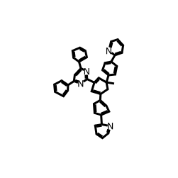 CC1(c2ccc(-c3ccccn3)cc2)C=C(c2nc(-c3ccccc3)cc(-c3ccccc3)n2)C=C(c2ccc(-c3ccccn3)cc2)C1